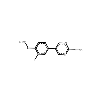 CCCCCCCc1ncc(-c2ccc(OCCCCCC)c(F)c2)cn1